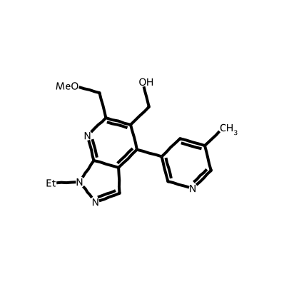 CCn1ncc2c(-c3cncc(C)c3)c(CO)c(COC)nc21